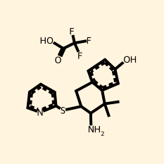 CC1(C)c2cc(O)ccc2CC(Sc2ccccn2)C1N.O=C(O)C(F)(F)F